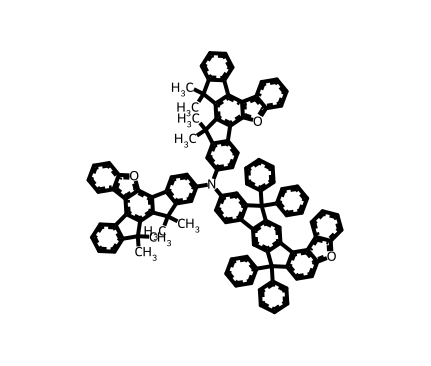 CC1(C)c2cc(N(c3ccc4c(c3)C(C)(C)c3c5c(c6c(oc7ccccc76)c3-4)-c3ccccc3C5(C)C)c3ccc4c(c3)C(c3ccccc3)(c3ccccc3)c3cc5c(cc3-4)C(c3ccccc3)(c3ccccc3)c3ccc4oc6ccccc6c4c3-5)ccc2-c2c1c1c(c3c2oc2ccccc23)-c2ccccc2C1(C)C